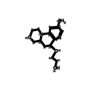 Bc1cnc2c(c1)N1CCOCC1CC2OCCO